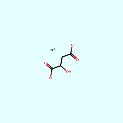 O=C([O-])CC(O)C(=O)[O-].[Ni+2]